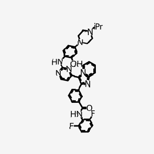 CC(C)N1CCN(c2ccc(Nc3nccc(-c4c(-c5cccc(C(=O)Nc6c(F)cccc6F)c5)nc5ccccn45)n3)c(O)c2)CC1